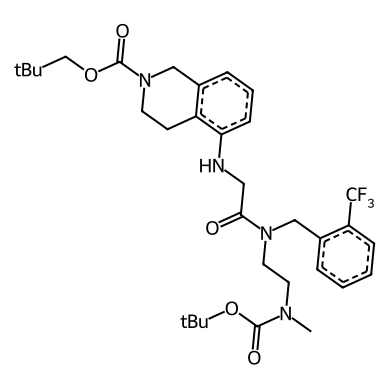 CN(CCN(Cc1ccccc1C(F)(F)F)C(=O)CNc1cccc2c1CCN(C(=O)OCC(C)(C)C)C2)C(=O)OC(C)(C)C